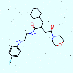 O=C(NCCNc1ccc(F)cc1)C(CC(=O)N1CCOCC1)CC1CCCCC1